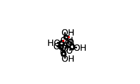 O=C1c2c(O)cc(O)cc2O[C@@H](c2ccc(O)cc2)[C@@H]1C1c2oc(-c3ccc(O)cc3)cc(=O)c2C(O)=CC1O